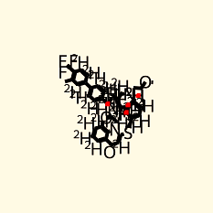 [2H]c1c([2H])c(F)c(F)c(C([2H])([2H])Sc2c([2H])c(=O)c3c([2H])c([2H])c([2H])c([2H])c3n2CC(=O)N(C([2H])([2H])c2c([2H])c([2H])c(-c3c([2H])c([2H])c(C(F)(F)F)c(C)c3[2H])c([2H])c2[2H])C2([2H])C([2H])([2H])C([2H])([2H])N(CCOC)C([2H])([2H])C2([2H])[2H])c1[2H]